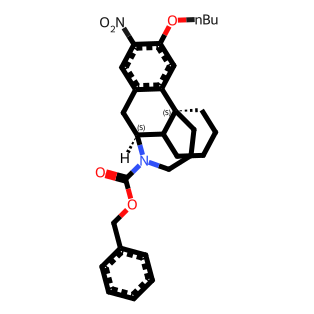 CCCCOc1cc2c(cc1[N+](=O)[O-])C[C@H]1C3CCCC[C@@]23CCCN1C(=O)OCc1ccccc1